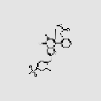 CC1CN(S(C)(=O)=O)CCN1Cc1cc2c(=O)n(C)cc(-c3ccncc3N(C(=O)O)C(C)(C)C)c2o1